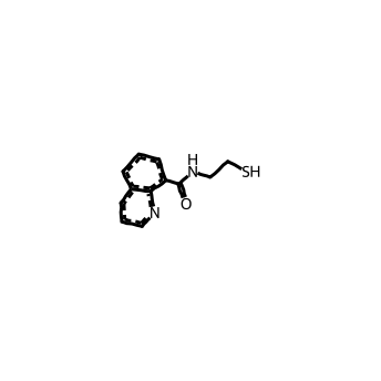 O=C(NCCS)c1cccc2cccnc12